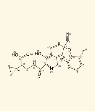 N#CC1(Oc2c(F)cccc2F)C=CC2=C(O)C(C(=O)NCC(C(=O)O)C3CC3)=NCC2=C1